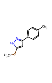 CSc1cc(-c2ccc(C)cc2)n[nH]1